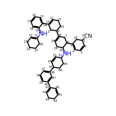 N#CC1C=CC=C(C2CC(C3CCC=C(c4ccccc4NC4=CCCCC4)C3)=CCC2NC2C=CC(c3cccc(C4=CCCC=C4)c3)CC2)C1